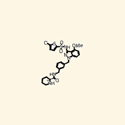 COc1cccc2c1c(NS(=O)(=O)c1ccc(Cl)s1)nn2Cc1cccc(CNC(=O)[C@@H]2CCCCN2)c1